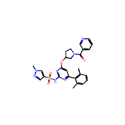 Cc1cccc(C)c1-c1cc(OC2CCN(C(=O)c3cccnc3)C2)nc(NS(=O)(=O)c2cnn(C)c2)n1